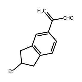 C=C(C=O)c1ccc2c(c1)CC(CC)C2